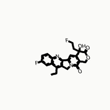 CCc1c2c(nc3ccc(F)cc13)-c1cc3c(c(=O)n1C2)COC(=O)C3(O)CCF